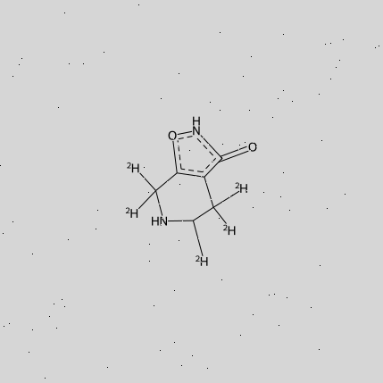 [2H]C1NC([2H])([2H])c2o[nH]c(=O)c2C1([2H])[2H]